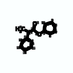 CN(C(=O)Oc1ccccc1)c1ccccn1